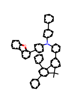 CC1(C)c2ccc(-c3cccc(N(c4ccc(-c5ccccc5)cc4)c4ccc(-c5cccc6c5oc5ccccc56)cc4)c3)cc2-c2c(-c3ccccc3)cc(-c3ccccc3)cc21